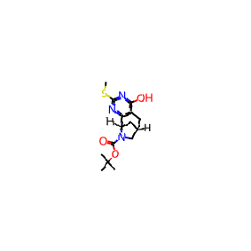 CSc1nc(O)c2c(n1)[C@@H]1C[C@H](C2)CN1C(=O)OC(C)(C)C